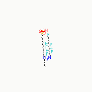 CCCCCCCCCCCCCCCCCCCCS(=O)(=O)O.NCC(F)C(F)C(F)C(F)C(F)C(F)C(F)CCCCF